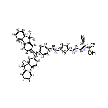 CC1(C)c2ccccc2-c2ccc(N(c3ccc(/C=C/c4ccc(/C=C/C=C(\C#N)C(=O)O)s4)cc3)c3ccc4c(c3)C(C)(C)c3ccccc3-4)cc21